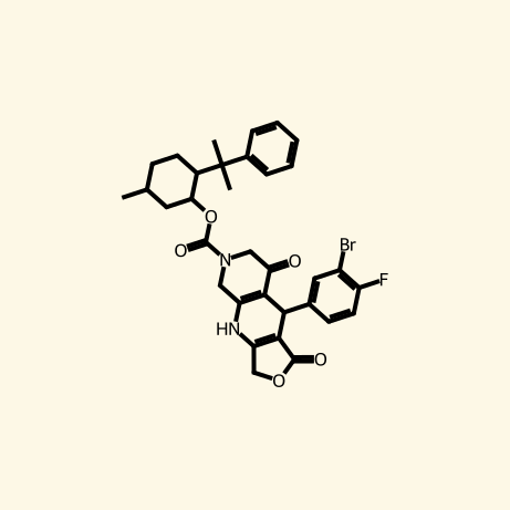 CC1CCC(C(C)(C)c2ccccc2)C(OC(=O)N2CC(=O)C3=C(C2)NC2=C(C(=O)OC2)C3c2ccc(F)c(Br)c2)C1